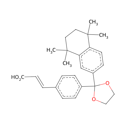 CC1(C)CCC(C)(C)c2cc(C3(c4ccc(C=CC(=O)O)cc4)OCCO3)ccc21